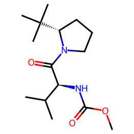 COC(=O)N[C@H](C(=O)N1CCC[C@H]1C(C)(C)C)C(C)C